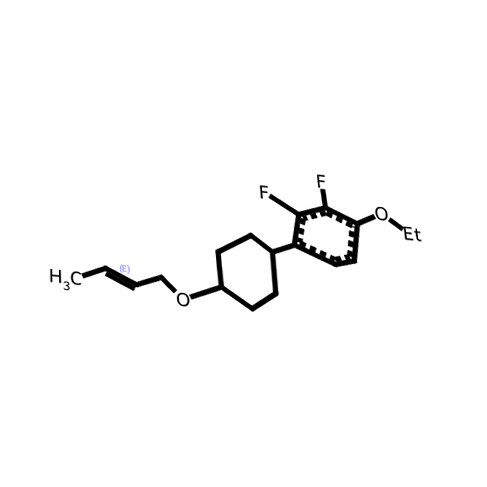 C/C=C/COC1CCC(c2ccc(OCC)c(F)c2F)CC1